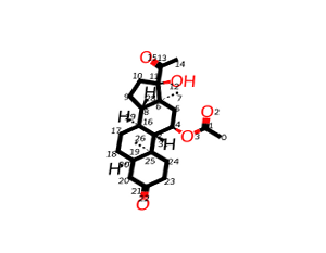 CC(=O)O[C@@H]1C[C@@]2(C)[C@@H](CC[C@]2(O)C(C)=O)[C@@H]2CC[C@@H]3CC(=O)CC[C@]3(C)[C@H]21